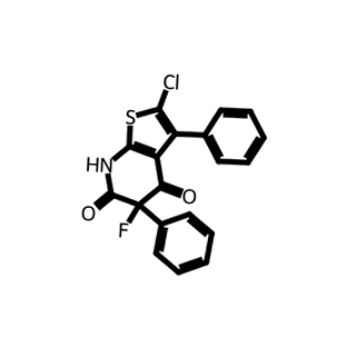 O=C1Nc2sc(Cl)c(-c3ccccc3)c2C(=O)C1(F)c1ccccc1